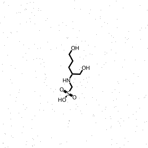 O=S(=O)(O)CNC(CO)CCCO